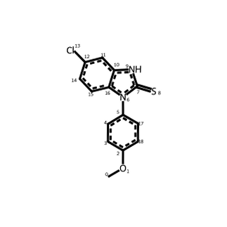 COc1ccc(-n2c(=S)[nH]c3cc(Cl)ccc32)cc1